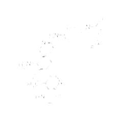 Cc1c(-c2cc3cc(NC(=O)OC4CN(C(=O)[C@@H]5C[C@H]5F)C4)ncc3c(N)c2F)cnc2c1NCCO2